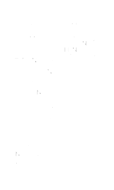 COc1cc(C(=O)N2CC3CCC2C3N)cc2nc(-c3cc4ccc(-c5ccn(C)c(=O)c5)cc4n3CC3CC3)n(C)c12